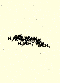 CCS(=O)(=O)c1ccc(CC(=O)Nc2nc3c(s2)CN(Cc2cccc(S(C)(=O)=O)c2)[C@@H]3C(C)C)cc1